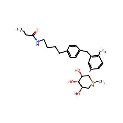 CCC(=O)NCCCCc1ccc(Cc2cc([C@H]3[C@H](O)[C@H](O)[C@H](O)C[SH]3C)ccc2C)cc1